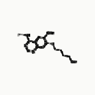 COc1cc2c(NC(C)C)ncnc2cc1OCCCCSC